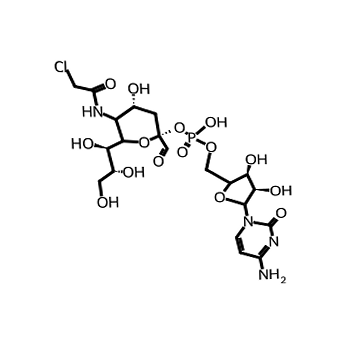 Nc1ccn(C2OC(COP(=O)(O)O[C@@]3(C=O)C[C@@H](O)C(NC(=O)CCl)C([C@H](O)[C@H](O)CO)O3)[C@@H](O)[C@H]2O)c(=O)n1